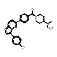 CN(C(=O)O)C1CCN(C(=O)c2ccc(-c3ccc4ncc(-c5ccc(C#N)cc5)n4n3)cc2)CC1